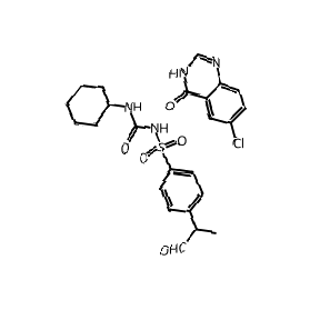 CC(C=O)c1ccc(S(=O)(=O)NC(=O)NC2CCCCC2)cc1.O=c1[nH]cnc2ccc(Cl)cc12